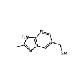 Cc1nc2cc(CS)cnc2[nH]1